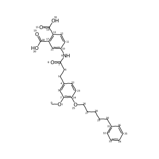 COc1cc(CCC(=O)Nc2ccc(C(=O)O)c(C(=O)O)c2)ccc1OCCCCCc1ccccc1